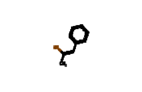 CC(S)=Cc1ccccc1